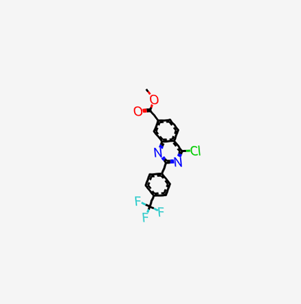 COC(=O)c1ccc2c(Cl)nc(-c3ccc(C(F)(F)F)cc3)nc2c1